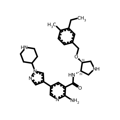 CCc1cc(CO[C@H]2CNC[C@@H]2NC(=O)c2cc(-c3cnn(C4CCNCC4)c3)cnc2N)ccc1C